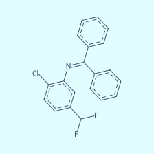 FC(F)c1ccc(Cl)c(N=C(c2ccccc2)c2ccccc2)c1